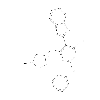 Cc1nc(Nc2ccncc2)nc(N[C@H]2CC[C@@H](CO)C2)c1-c1nc2ccccc2s1